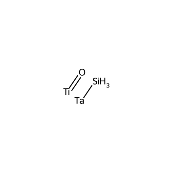 [O]=[Ti].[SiH3][Ta]